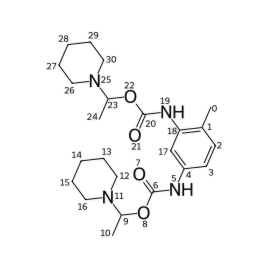 Cc1ccc(NC(=O)OC(C)N2CCCCC2)cc1NC(=O)OC(C)N1CCCCC1